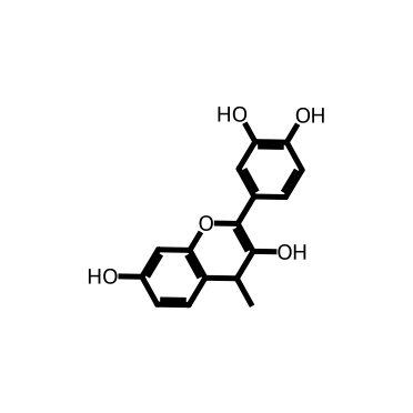 CC1C(O)=C(c2ccc(O)c(O)c2)Oc2cc(O)ccc21